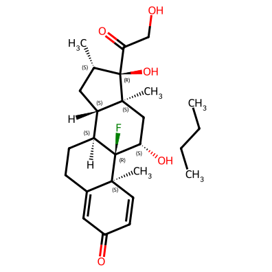 CCCC.C[C@H]1C[C@H]2[C@@H]3CCC4=CC(=O)C=C[C@]4(C)[C@@]3(F)[C@@H](O)C[C@]2(C)[C@@]1(O)C(=O)CO